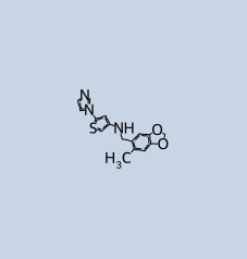 Cc1cc2c(cc1CNc1csc(-n3ccnc3)c1)OCO2